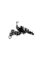 Cn1c(=O)c2nc3[nH]ccc3cc2n1-c1cc(N2CCC(C(O)c3ccccc3-c3ccc(Cl)cc3)CC2)ccc1C(=O)NS(=O)(=O)c1ccc(NC[C@@H]2COCCO2)c([N+](=O)[O-])c1